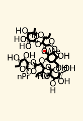 CCCO[C@@H]1OC(C)[C@H](O)C(O)[C@@H]1O[C@@H]1OC(C)[C@H](O)C(O[C@H]2O[C@@H](CO)[C@@H](O)C(O)C2O)[C@@H]1O[C@@H]1CC(CO)[C@@H](O)[C@H](O[C@@H]2OC(C)[C@H](O)C(O[C@@H]3OC(C)[C@H](O)C(O)[C@@H]3O)[C@@H]2OC)C1C